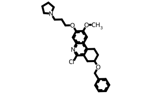 COc1cc2c3c(c(Cl)nc2cc1OCCCN1CCCC1)CC(OCc1ccccc1)CC3